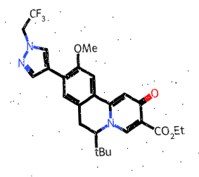 CCOC(=O)c1cn2c(cc1=O)-c1cc(OC)c(-c3cnn(CC(F)(F)F)c3)cc1CC2C(C)(C)C